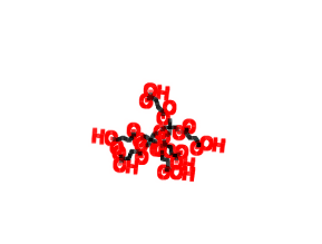 O=C(O)CCC(=O)OCC(COCC(COC(=O)CCC(=O)O)(COC(=O)CCC(=O)O)COC(=O)CCC(=O)O)(COC(=O)CCC(=O)O)COC(=O)CCC(=O)O